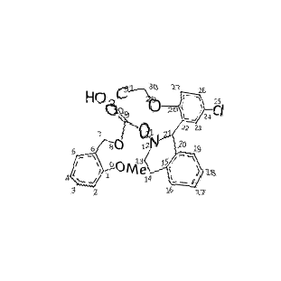 COc1ccccc1COC(=O)ON1CCc2ccccc2C1c1cc(Cl)ccc1OCC(=O)O